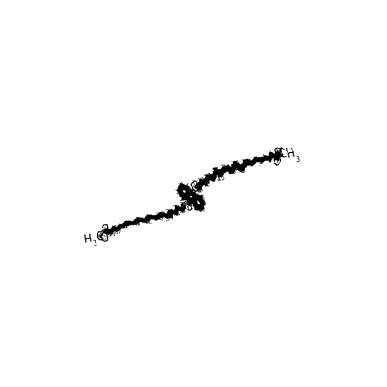 COC(=O)CCCCCCCCCCCCCCCCCCOc1c2ccccc2c(OCCCCCCCCCCCCCCCCCCC(=O)OC)c2ccccc12